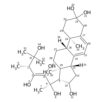 C[C@@H](C(O)=C(O)[C@](C)(O)[C@H]1C(O)C[C@H]2C3=CC=C4CC(O)(O)CC[C@]4(C)[C@H]3CC[C@@]21C)C(C)(C)O